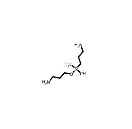 C[Si](C)(CCCN)OCCCN